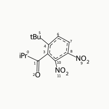 CC(C)C(=O)c1c(C(C)(C)C)ccc([N+](=O)[O-])c1[N+](=O)[O-]